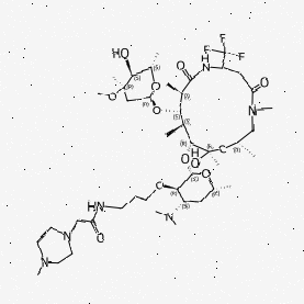 CO[C@]1(C)C[C@H](O[C@H]2[C@H](C)[C@@H](O[C@@H]3O[C@H](C)C[C@H](N(C)C)[C@H]3OCCCNC(=O)CN3CCN(C)CC3)[C@](C)(O)C[C@@H](C)CN(C)C(=O)CC(C(F)(F)F)NC(=O)[C@@H]2C)O[C@@H](C)[C@@H]1O